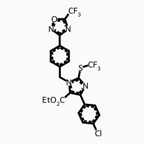 CCOC(=O)c1c(-c2ccc(Cl)cc2)nc(SC(F)(F)F)n1Cc1ccc(-c2noc(C(F)(F)F)n2)cc1